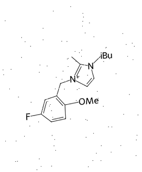 CCC(C)n1cc[n+](Cc2cc(F)ccc2OC)c1C